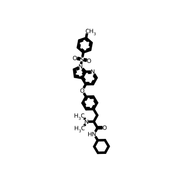 Cc1ccc(S(=O)(=O)n2ccc3c(Oc4ccc(CC(C(=O)NC5CCCCC5)N(C)C)cc4)ccnc32)cc1